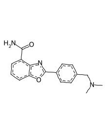 CN(C)Cc1ccc(-c2nc3c(C(N)=O)cccc3o2)cc1